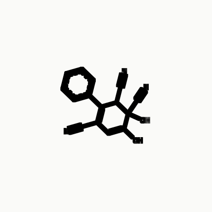 N#CC1=C(c2ccccc2)C(C#N)C(O)(C#N)C(O)=C1